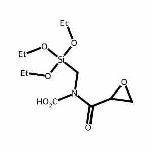 CCO[Si](CN(C(=O)O)C(=O)C1CO1)(OCC)OCC